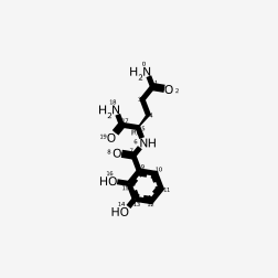 NC(=O)CC[C@@H](NC(=O)c1cccc(O)c1O)C(N)=O